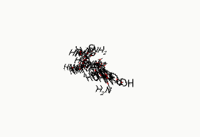 CC(C)C[C@H](NC(=O)CNC(=O)[C@H](C)NC(=O)[C@@H]1CCCN1C(=O)[C@H](CCCNC(=N)N)NC(=O)[C@H](Cc1ccccc1)NC(=O)[C@H](Cc1c[nH]cn1)NC(=O)[C@@H](N)CC(N)=O)C(=O)N1CCC[C@H]1C(=O)N[C@@H](CCC(=O)O)C(=O)N[C@@H](CCCCN)C(=O)N[C@@H](Cc1ccc(O)cc1)C(=O)O